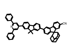 CC1(C)c2cc(-c3cc(-c4ccccc4)nc(-c4ccccc4)c3)ccc2-c2ccc(-c3ccc4c(c3)-c3ccc(C#N)cc3C43C4CC5CC(C4)CC3C5)cc21